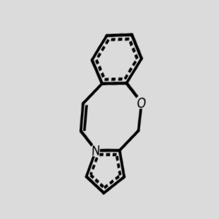 C1=Cn2cccc2COc2ccccc21